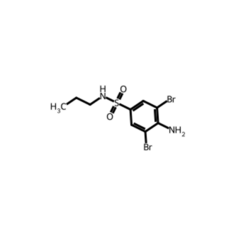 CCCNS(=O)(=O)c1cc(Br)c(N)c(Br)c1